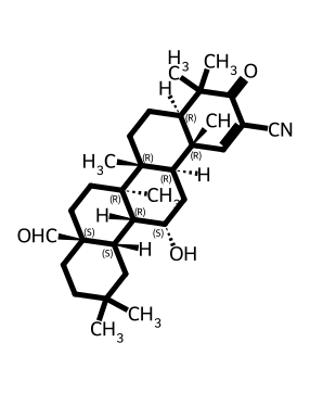 CC1(C)CC[C@]2(C=O)CC[C@]3(C)[C@H]([C@@H](O)C[C@@H]4[C@@]5(C)C=C(C#N)C(=O)C(C)(C)[C@@H]5CC[C@]43C)[C@@H]2C1